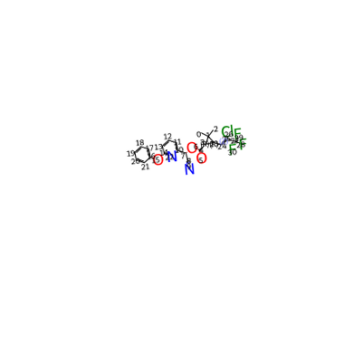 CC1(C)[C@H](C(=O)OC(C#N)c2cccc(Oc3ccccc3)n2)[C@@H]1/C=C(\Cl)C(F)(F)F